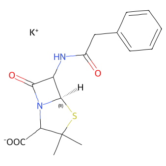 CC1(C)S[C@@H]2C(NC(=O)Cc3ccccc3)C(=O)N2C1C(=O)[O-].[K+]